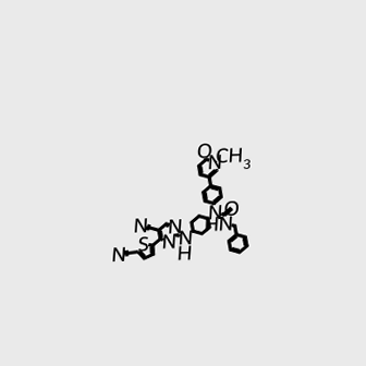 Cn1cc(-c2ccc(N(C(=O)NCc3ccccc3)[C@H]3CC[C@H](Nc4ncc(C#N)c(-c5ccc(C#N)s5)n4)CC3)cc2)ccc1=O